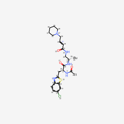 CCC(=O)N[C@@H](Cc1nc2ccc(Cl)cc2s1)C(=O)NC(CNC(=O)/C=C/CN1CCCCC1)[C@@H](C)CC